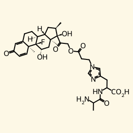 CC(N)C(=O)NC(Cc1cn(CCC(=O)OCC(=O)[C@@]2(O)[C@H](C)C[C@H]3[C@@H]4CCC5=CC(=O)C=C[C@]5(C)[C@@]4(F)[C@@H](O)C[C@@]32C)cn1)C(=O)O